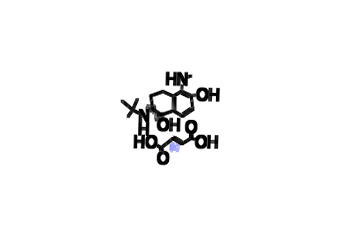 CNc1c(O)ccc2c1CC[C@@H](NC(C)(C)C)[C@H]2O.O=C(O)/C=C/C(=O)O